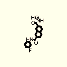 O=C(NO)c1ccc2ccc(C(=O)Nc3cccc(F)c3)cc2c1